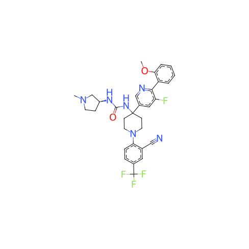 COc1ccccc1-c1ncc(C2(NC(=O)N[C@H]3CCN(C)C3)CCN(c3ccc(C(F)(F)F)cc3C#N)CC2)cc1F